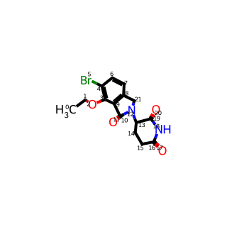 CCOc1c(Br)ccc2c1C(=O)N(C1CCC(=O)NC1=O)C2